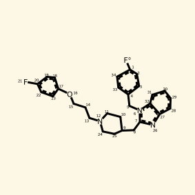 Fc1ccc(Cn2c(CC3CCN(CCCOc4ccc(F)cc4)CC3)nc3ccccc32)cc1